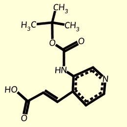 CC(C)(C)OC(=O)Nc1cnccc1C=CC(=O)O